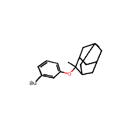 CCC(C)c1cccc(OC2(C)C3CC4CC(C3)CC2C4)c1